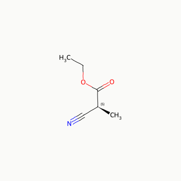 CCOC(=O)[C@@H](C)C#N